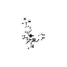 O=C(Nc1ccc(C(F)(F)F)cc1)c1cccnc1NCC1CCOC1